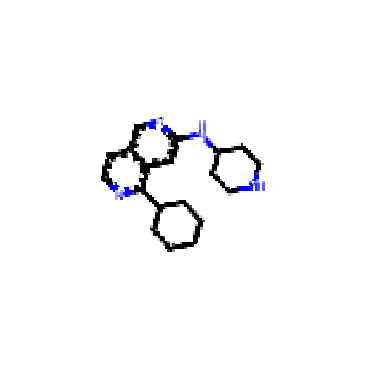 c1cc2cnc(NC3CCNCC3)cc2c(C2CCCCC2)n1